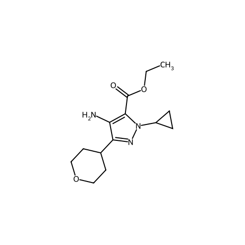 CCOC(=O)c1c(N)c(C2CCOCC2)nn1C1CC1